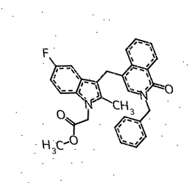 COC(=O)Cn1c(C)c(Cc2cn(Cc3ccccc3)c(=O)c3ccccc23)c2cc(F)ccc21